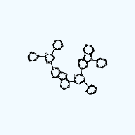 c1ccc(-c2nc(-c3ccccc3)nc(-c3ccc4c(c3)sc3c(-c5nc(-c6ccccc6)nc(-c6ccc7c8ccccc8n(-c8ccccc8)c7c6)n5)cccc34)n2)cc1